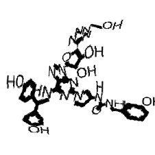 O=C(NCc1cccc(O)c1)NC1CCN(c2nc(NCC(c3ccc(O)cc3)c3ccc(O)cc3)c3ncn([C@@H]4O[C@H](c5nnn(CCO)n5)C(O)[C@H]4O)c3n2)C1